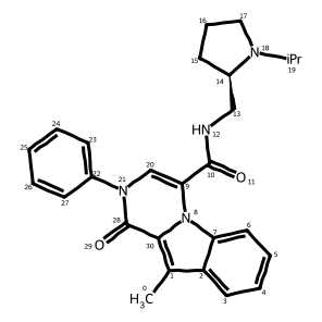 Cc1c2ccccc2n2c(C(=O)NC[C@H]3CCCN3C(C)C)cn(-c3ccccc3)c(=O)c12